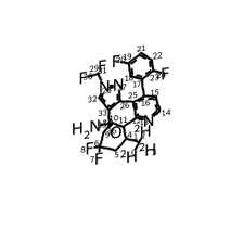 [2H]C([2H])([2H])C1CC(F)(F)CCC1c1nccc(-c2cc(F)ccc2F)c1-c1nn(C(F)F)cc1C(N)=O